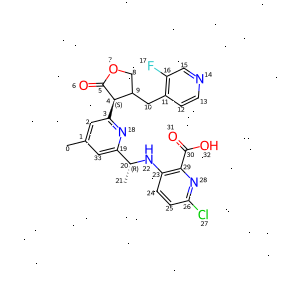 Cc1cc([C@H]2C(=O)OCC2Cc2ccncc2F)nc([C@@H](C)Nc2ccc(Cl)nc2C(=O)O)c1